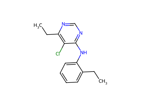 CCc1ccccc1Nc1ncnc(CC)c1Cl